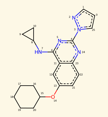 c1cnn(-c2nc(NC3CC3)c3cc(OC4CCCCC4)ccc3n2)c1